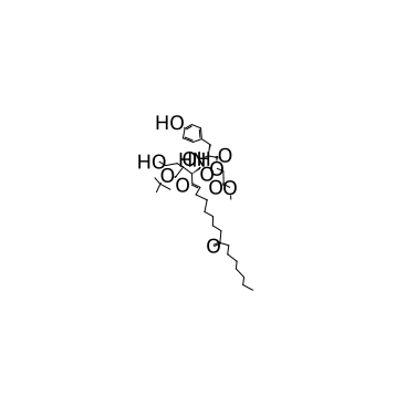 CCCCCCCC(=O)CCCCCC/C=C/[C@H](C(=O)N[C@@H](Cc1ccc(O)cc1)C(=O)OCC(=O)OC)[C@@](O)(CCO)C(=O)OC(C)(C)C